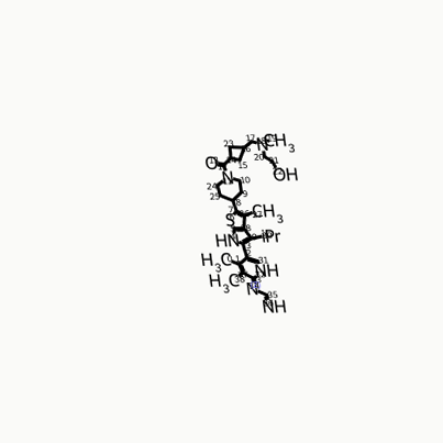 Cc1c(-c2[nH]c3sc(C4CCN(C(=O)C5CC(CN(C)CCO)C5)CC4)c(C)c3c2C(C)C)c[nH]/c(=N\C=N)c1C